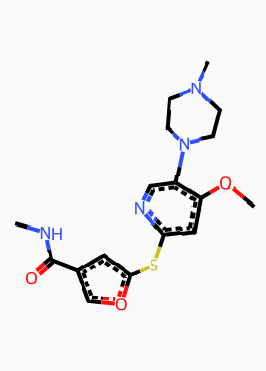 CNC(=O)c1coc(Sc2cc(OC)c(N3CCN(C)CC3)cn2)c1